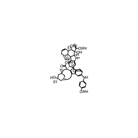 CC[C@]1(O)C[C@H]2CN(CCc3c([nH]c4ccc(Nc5ccc(OC)cc5)cc34)[C@@](C(=O)OC)(C3C=C4C(=CC3OC)N(C)[C@H]3[C@@](O)(C(=O)OC)[C@H](OC(C)=O)[C@]5(CC)C=CCN6CC[C@]43[C@@H]65)C2)C1